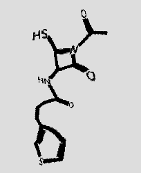 CC(=O)N1C(=O)C(NC(=O)Cc2ccsc2)C1S